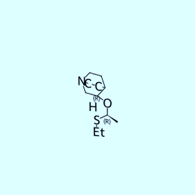 CCS[C@H](C)O[C@H]1CN2CCC1CC2